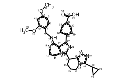 COc1ccc(CNc2nccn3c(C4CCCn5c(C6CC6)nnc54)nc(-c4ccc(C(=O)O)cc4)c23)c(OC)c1